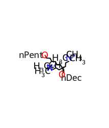 CCCCCCCCCCOCC(CCCCCCOCCCCC)(CCC[N+](C)(C)C)CCC[N+](C)(C)C